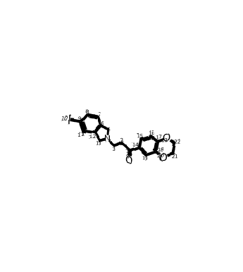 O=C(CCN1Cc2ccc(I)cc2C1)c1ccc2c(c1)OCCO2